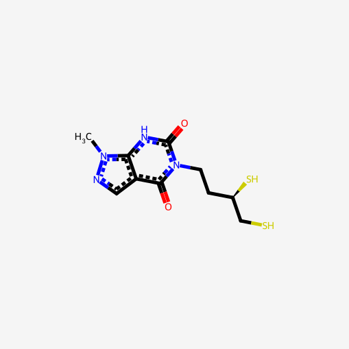 Cn1ncc2c(=O)n(CC[C@@H](S)CS)c(=O)[nH]c21